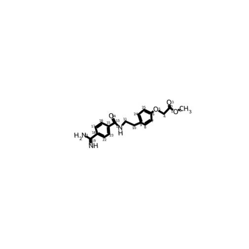 COC(=O)COc1ccc(CCNC(=O)c2ccc(C(=N)N)cc2)cc1